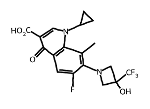 Cc1c(N2CC(O)(C(F)(F)F)C2)c(F)cc2c(=O)c(C(=O)O)cn(C3CC3)c12